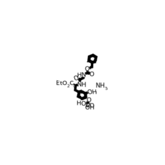 CCOC(=O)[C@H](Cc1ccc(OP(=O)(O)O)c(O)c1)NC(=O)CNC(=O)OCc1ccccc1.N